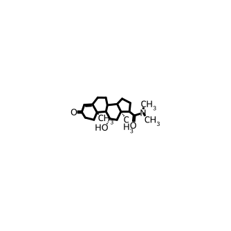 CN(C)C(=O)C1CCC2C3CCC4=CC(=O)CC[C@]4(C)C3[C@@H](O)C[C@]12C